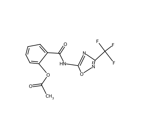 CC(=O)Oc1ccccc1C(=O)Nc1nc(C(F)(F)F)no1